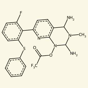 CN1C(N)c2ccc(-c3c(F)cccc3Sc3ccccc3)nc2N(OC(=O)C(F)(F)F)C1N